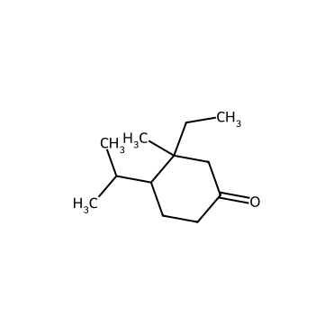 CCC1(C)CC(=O)CCC1C(C)C